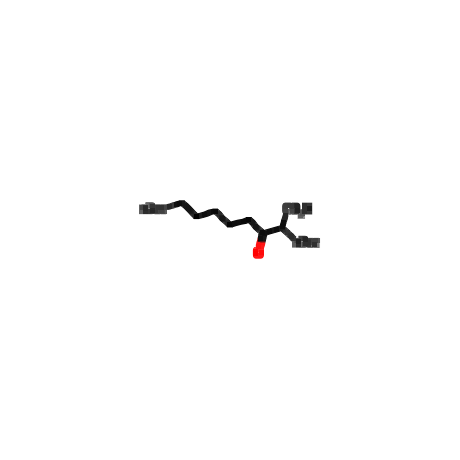 CCCCCCCCCCCCCCCC(=O)C(CCCCCCCCCC)C(=O)O